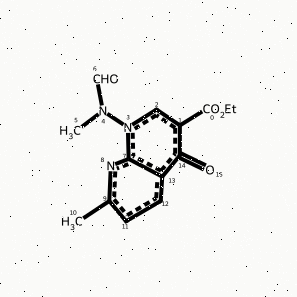 CCOC(=O)c1cn(N(C)C=O)c2nc(C)ccc2c1=O